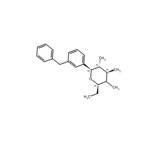 CC[C@H]1O[C@@H](c2cccc(Cc3ccccc3)c2)[C@H](C)[C@@H](C)C1C